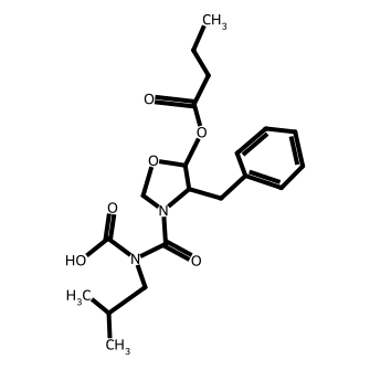 CCCC(=O)OC1OCN(C(=O)N(CC(C)C)C(=O)O)C1Cc1ccccc1